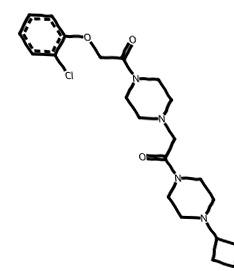 O=C(COc1ccccc1Cl)N1CCN(CC(=O)N2CCN(C3CCC3)CC2)CC1